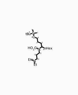 CCCCCCC(CCCO[Si](C)(C)C(C)(C)C)N(CCCN(CC)CC)C(=O)O